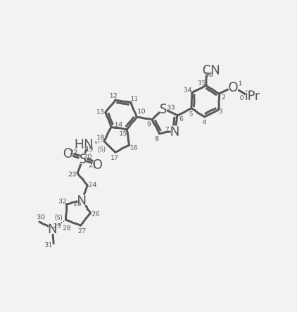 CC(C)Oc1ccc(-c2ncc(-c3cccc4c3CC[C@@H]4NS(=O)(=O)CCN3CC[C@H](N(C)C)C3)s2)cc1C#N